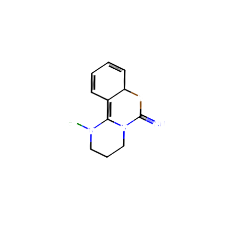 N=C1SC2C=CC=CC2=C2N(Br)CCCN12